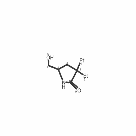 CCC1(CC)CC(CO)NC1=O